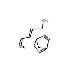 C1=CC2CC=C1C2.C=CC=CCC